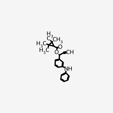 C#CC(OC(=O)C1C(C)(C)C1(C)C)c1cccc(Nc2ccccc2)c1